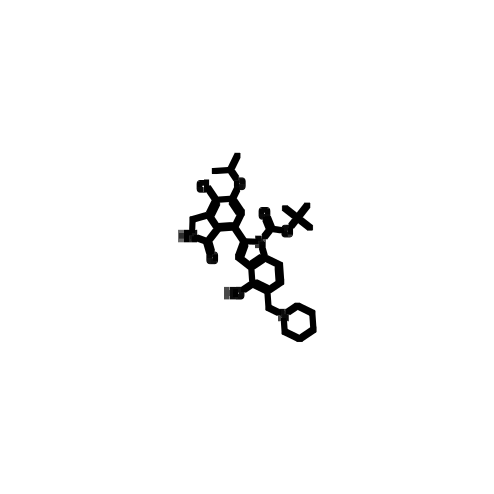 CC(C)Oc1cc(-c2cc3c(O)c(CN4CCCCC4)ccc3n2C(=O)OC(C)(C)C)c2c(c1Cl)CNC2=O